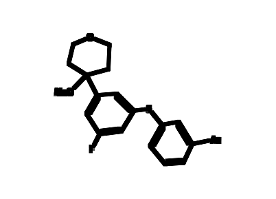 COC1(c2cc(F)cc(Sc3cccc(C(C)=O)c3)c2)CCOCC1